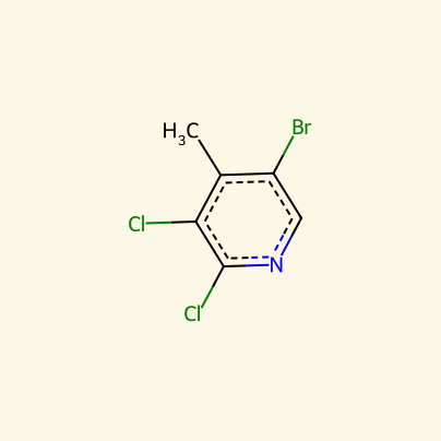 Cc1c(Br)cnc(Cl)c1Cl